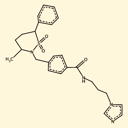 CC1CCC(c2ccccc2)S(=O)(=O)N1Cc1ccc(C(=O)NCCCn2ccnc2)cc1